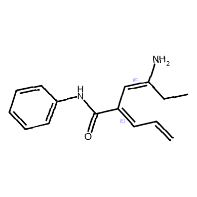 C=C/C=C(\C=C(\N)CC)C(=O)Nc1ccccc1